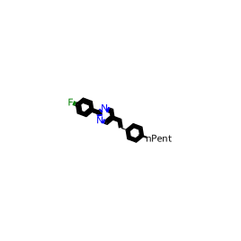 CCCCC[C@H]1CC[C@H](CCc2cnc(-c3ccc(F)cc3)nc2)CC1